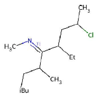 CCC(C)CC(C)/C(=N\C)C(CC)CC(C)Cl